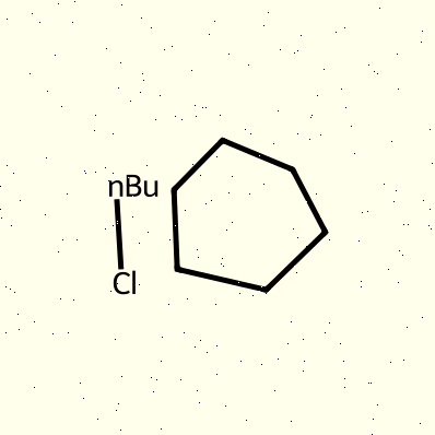 C1CCCCC1.CCCCCl